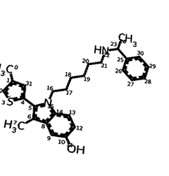 Cc1csc(-c2c(C)c3cc(O)ccc3n2CCCCCCNC(C)c2ccccc2)c1